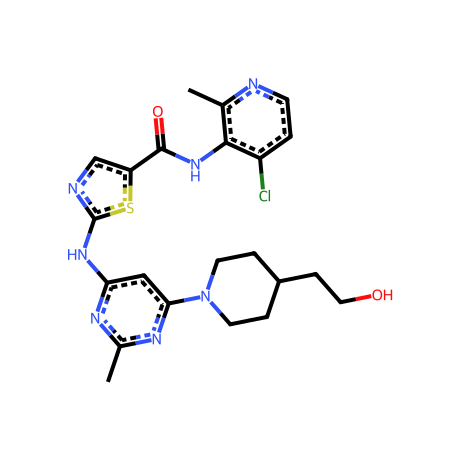 Cc1nc(Nc2ncc(C(=O)Nc3c(Cl)ccnc3C)s2)cc(N2CCC(CCO)CC2)n1